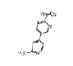 Cc1cc(-c2cnc(NC#N)nc2)ccn1